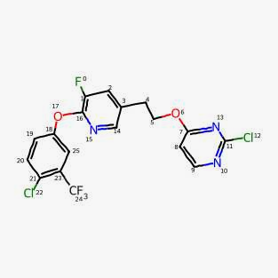 Fc1cc(CCOc2ccnc(Cl)n2)cnc1Oc1ccc(Cl)c(C(F)(F)F)c1